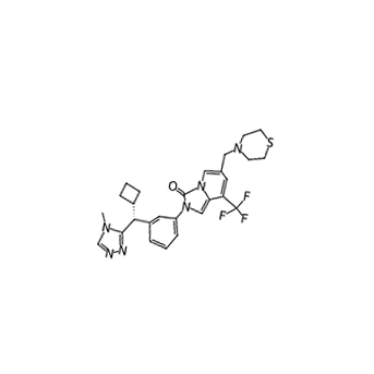 Cn1cnnc1[C@@H](c1cccc(-n2cc3c(C(F)(F)F)cc(CN4CCSCC4)cn3c2=O)c1)C1CCC1